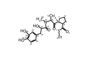 CCSC(=O)C1CCCN1C(=O)C(C)N(C)C(=O)C(O)Cc1ccc(O)c(O)c1